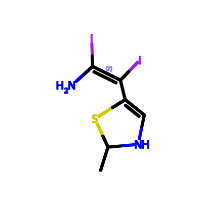 CC1NC=C(/C(I)=C(\N)I)S1